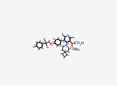 Cc1nc(C)c([C@H](OC(C)(C)C)C(=O)O)c(N2CCC3(CCC3)CC2)c1-c1ccc(OCC(C)(C)c2ccc(F)cc2)cc1